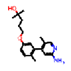 Cc1ccc(OCCCC(C)(C)O)cc1-c1cc(N)ncc1C